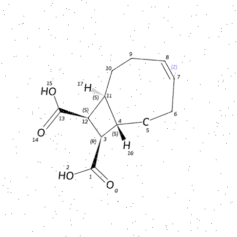 O=C(O)[C@@H]1[C@H]2CC/C=C\CC[C@@H]2[C@@H]1C(=O)O